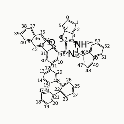 c1ccc2c(c1)SC1=C(c3cc(-c4ccc5c6ccccc6c6ccccc6c5c4)cc4c3oc3cc5ccccc5cc34)N=C(c3cccc4ccccc34)NC12